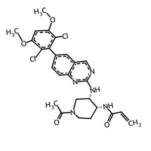 C=CC(=O)N[C@@H]1CCN(C(C)=O)C[C@@H]1Nc1ncc2cc(-c3c(Cl)c(OC)cc(OC)c3Cl)ccc2n1